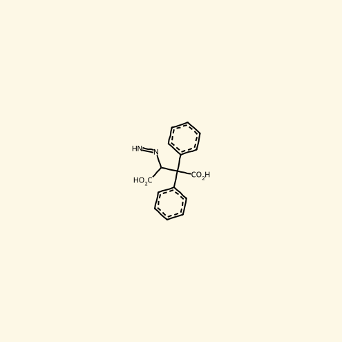 N=NC(C(=O)O)C(C(=O)O)(c1ccccc1)c1ccccc1